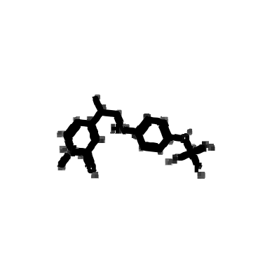 CC(CNc1ccc(OC(F)(F)F)cc1)c1ccn(C)c(=O)c1